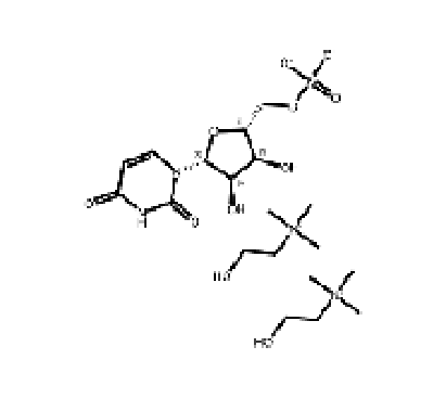 C[N+](C)(C)CCO.C[N+](C)(C)CCO.O=c1ccn([C@@H]2O[C@H](COP(=O)([O-])[O-])[C@@H](O)[C@H]2O)c(=O)[nH]1